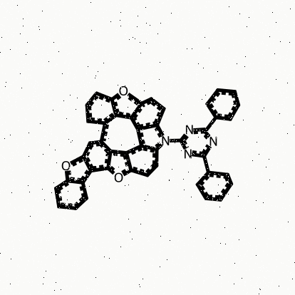 c1ccc(-c2nc(-c3ccccc3)nc(-n3c4ccc5oc6cccc7c8cc9oc%10ccccc%10c9c9oc%10ccc3c(c%10c89)c4c5c67)n2)cc1